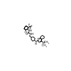 CN(C)c1nc(NC2CCC(CNC(=O)Nc3c(Cl)cccc3C(F)(F)F)CC2)nc2c1CCCC2